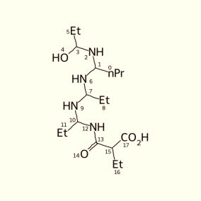 CCCC(NC(O)CC)NC(CC)NC(CC)NC(=O)C(CC)C(=O)O